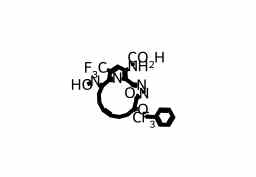 O=C(O)Nc1cc(C(F)(F)F)c2nc1-c1nnc(o1)[C@@](OCc1ccccc1)(C(F)(F)F)CCC=CCCC2=NO